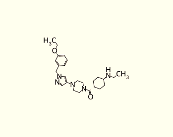 CCN[C@H]1CC[C@H](C(=O)N2CCN(c3cnn(Cc4cccc(OCC)c4)c3)CC2)CC1